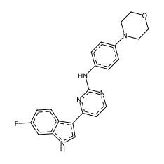 Fc1ccc2c(-c3ccnc(Nc4ccc(N5CCOCC5)cc4)n3)c[nH]c2c1